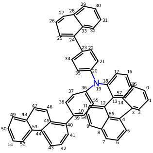 c1ccc(-c2cccc3cccc(-c4ccccc4N(c4ccc(-c5cccc6ccccc56)cc4)c4ccc(-c5cccc6c5ccc5ccccc56)cc4)c23)cc1